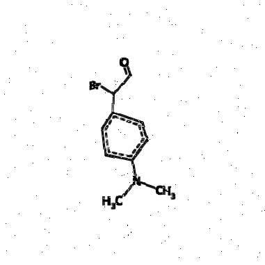 CN(C)c1ccc(C(Br)C=O)cc1